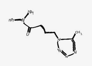 CCCN(CCC)C(=O)CCCn1nnnc1C